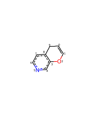 C1=COc2cnccc2C1